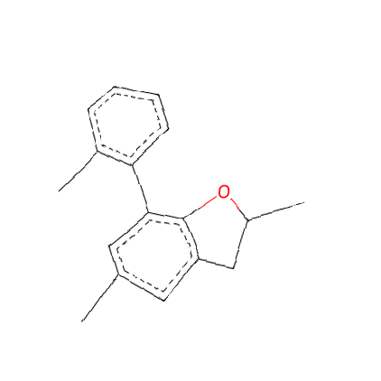 Cc1cc2c(c(-c3ccccc3C)c1)OC(C)C2